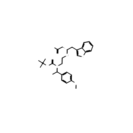 COc1ccc(C(C)N(CCN[C@@H](CC(=O)O)Cc2c[nH]c3ccccc23)C(=O)OC(C)(C)C)cc1